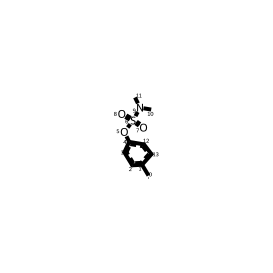 [CH2]c1ccc(OS(=O)(=O)N(C)C)cc1